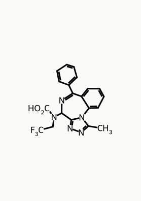 Cc1nnc2n1-c1ccccc1C(c1ccccc1)=NC2N(CC(F)(F)F)C(=O)O